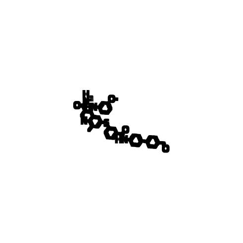 COc1cccc(Nc2c(C(N)=O)cnc3c(C)cc(Sc4cccc(C(=O)Nc5ccc(-c6ccc(C=O)cc6)cc5)c4)cc23)c1